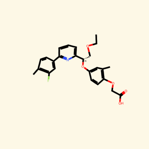 CCOC[C@H](Oc1ccc(OCC(=O)O)c(C)c1)c1cccc(-c2ccc(C)c(F)c2)n1